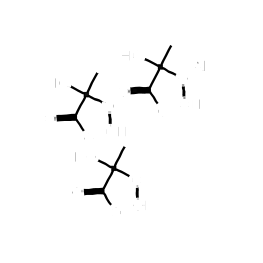 CC(O)(OO)C(=O)[O-].CC(O)(OO)C(=O)[O-].CC(O)(OO)C(=O)[O-].[Al+3]